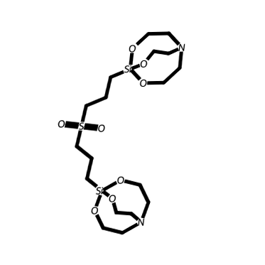 O=S(=O)(CCC[Si]12OCCN(CCO1)CCO2)CCC[Si]12OCCN(CCO1)CCO2